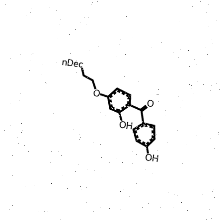 CCCCCCCCCCCCOc1ccc(C(=O)c2ccc(O)cc2)c(O)c1